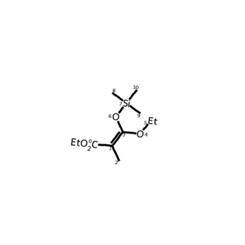 CCOC(=O)C(C)=C(OCC)O[Si](C)(C)C